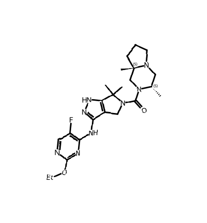 CCOc1ncc(F)c(Nc2n[nH]c3c2CN(C(=O)N2C[C@]4(C)CCCN4C[C@@H]2C)C3(C)C)n1